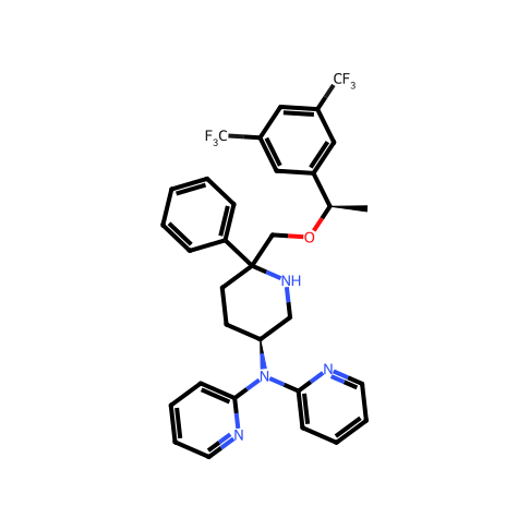 C[C@@H](OCC1(c2ccccc2)CC[C@H](N(c2ccccn2)c2ccccn2)CN1)c1cc(C(F)(F)F)cc(C(F)(F)F)c1